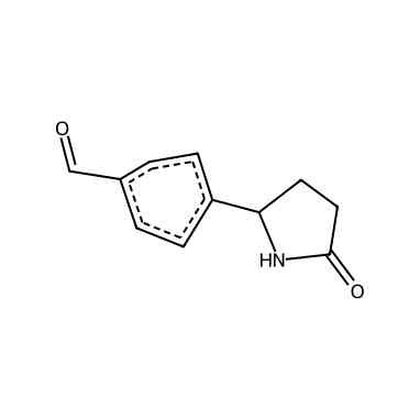 O=Cc1ccc(C2CCC(=O)N2)cc1